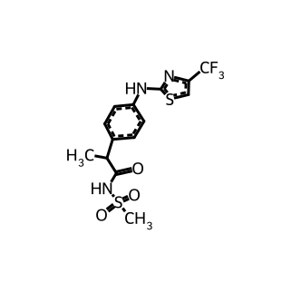 CC(C(=O)NS(C)(=O)=O)c1ccc(Nc2nc(C(F)(F)F)cs2)cc1